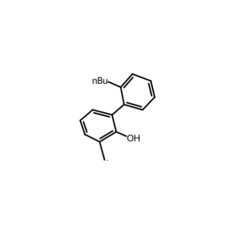 [CH2]c1cccc(-c2ccccc2CCCC)c1O